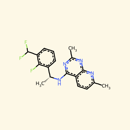 Cc1ccc2c(N[C@H](C)c3cccc(C(F)F)c3F)nc(C)nc2n1